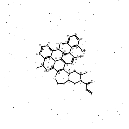 C=CC(=O)N1CC2CCOc3c(c4cc(F)c(-c5c(O)cccc5F)c(F)c4n(-c4c(C(C)C)ncnc4C(C)C)c3=O)N2CC1C